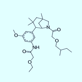 CCOCC(=O)Nc1cc(OC)cc(C2C3CC(C)(CN3C(=O)COCC(C)CC)CC2(C)C)c1